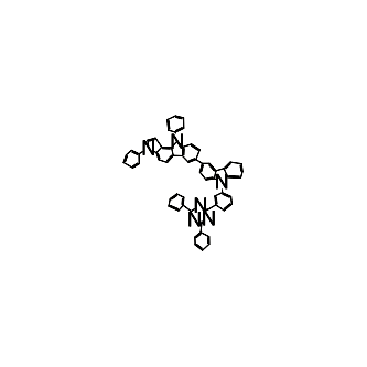 c1ccc(-c2nc(-c3ccccc3)nc(-c3cccc(-n4c5ccccc5c5cc(-c6ccc7c(c6)c6ccc8c(ccn8-c8ccccc8)c6n7-c6ccccc6)ccc54)c3)n2)cc1